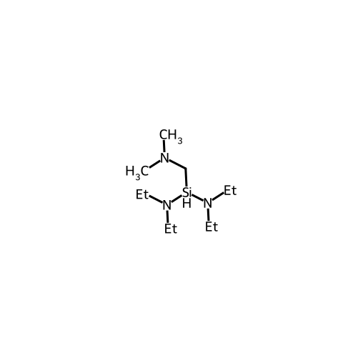 CCN(CC)[SiH](CN(C)C)N(CC)CC